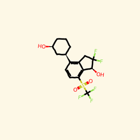 O=S(=O)(c1ccc([C@@H]2CCC[C@H](O)C2)c2c1[C@H](O)C(F)(F)C2)C(F)(F)F